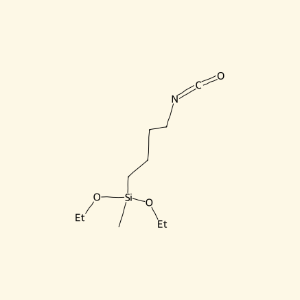 CCO[Si](C)(CCCCN=C=O)OCC